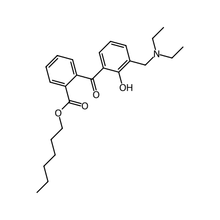 CCCCCCOC(=O)c1ccccc1C(=O)c1cccc(CN(CC)CC)c1O